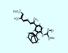 CCOC(=O)C=C(C)C=CC=C(C)c1ccc(OC(OC)OCC)c(C23CC4CC(CC(C4)C2)C3)c1